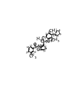 Cc1cc(C)c(N2CCCC2)c(C)c1NC(=O)c1sccc1NS(=O)(=O)c1cccc(C(F)(F)F)c1